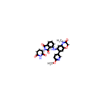 COc1ccc(-c2cc3c(cc2Nc2cccc4c2C(=O)N([C@H]2CCC(=O)NC2=O)C4=O)N(C)C(=O)CO3)cn1